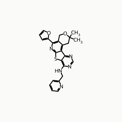 CC1(C)Cc2c(c(-c3ccco3)nc3sc4c(NCc5ccccn5)ncnc4c23)CO1